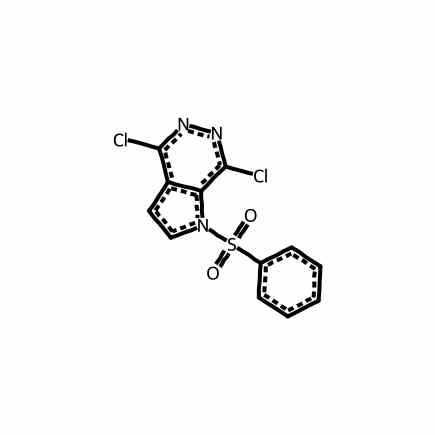 O=S(=O)(c1ccccc1)n1ccc2c(Cl)nnc(Cl)c21